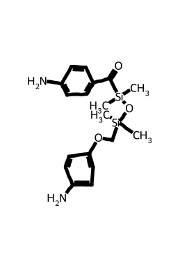 C[Si](C)(COc1ccc(N)cc1)O[Si](C)(C)C(=O)c1ccc(N)cc1